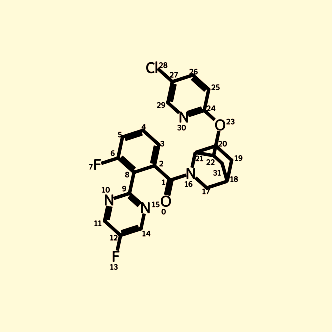 O=C(c1cccc(F)c1-c1ncc(F)cn1)N1CC2CCC1C(Oc1ccc(Cl)cn1)C2